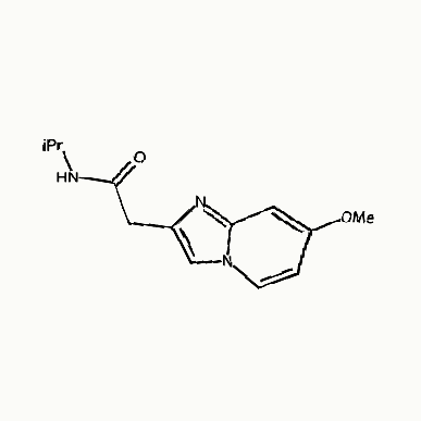 COc1ccn2cc(CC(=O)NC(C)C)nc2c1